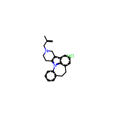 C=C(C)CN1CCc2c(c3cccc4c3n2-c2ccccc2CC4)C1.Cl